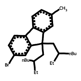 CCCCC(CC)CC1(CC(CC)CCCC)c2cc(C)ccc2-c2ccc(Br)cc21